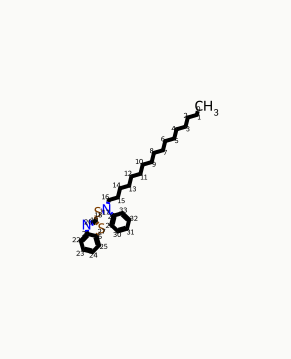 CCCCCCCCCCCCCCCCCN(Sc1nc2ccccc2s1)c1ccccc1